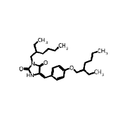 CCCCC(CC)COc1ccc(/C=C2/NC(=O)N(CC(CC)CCCC)C2=O)cc1